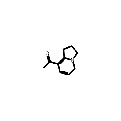 CC(=O)C1=C2CCCN2CC=C1